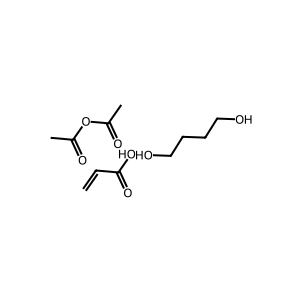 C=CC(=O)O.CC(=O)OC(C)=O.OCCCCO